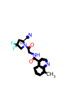 Cc1cccc2c(C(=O)NCC(=O)N3CC(F)(F)C[C@H]3C#N)ccnc12